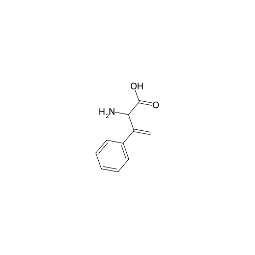 C=C(c1ccccc1)C(N)C(=O)O